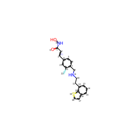 O=C(/C=C/c1ccc(CNCCc2cccc3ccsc23)c(F)c1)NO